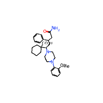 COc1ccccc1N1CCN(C(CC(CC(N)=O)c2ccccc2)C2(C(=O)O)CCCCC2)CC1